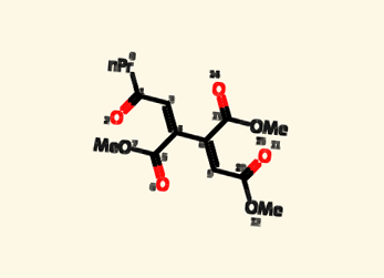 CCCC(=O)/C=C(C(=O)OC)/C(=C/C(=O)OC)C(=O)OC